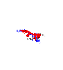 COc1ccc2c3c1O[C@H]1C(OC(=O)N4CCC(C(=O)NCCCC[C@H](NC(=O)OCc5ccccc5)C(=O)NCCOc5ccc(C(=O)Oc6ccc(N=C(N)N)cc6)cc5)CC4CNC(=O)[C@@H](CCCNC(=N)N)NC(=O)CNC(C)=O)=CC[C@H]4[C@@H]5C(C)C5(C2)C[C@]314